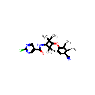 Cc1c(C#N)ccc(OC2C(C)(C)C(NC(=O)c3cnc(Cl)nc3)C2(C)C)c1C